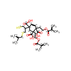 C=C(C)CSCC(CS)C1(C(=O)O)C=CC(CCOC(=O)C(=C)C)(C(=O)O)C(CCOC(=O)C(=C)C)(C(=O)O)C1